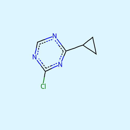 Clc1ncnc(C2CC2)n1